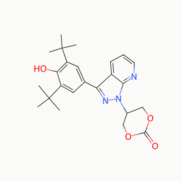 CC(C)(C)c1cc(-c2nn(C3COC(=O)OC3)c3ncccc23)cc(C(C)(C)C)c1O